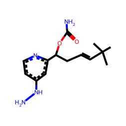 CC(C)(C)C=CCC(OC(N)=O)c1cc(NN)ccn1